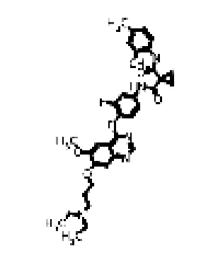 CCN(CC)CCCOc1cc2ncnc(Oc3ccc(NC(=O)C4(C(=O)Nc5ccc(C)cc5C)CC4)cc3F)c2cc1OC